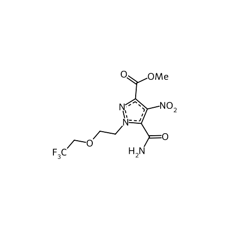 COC(=O)c1nn(CCOCC(F)(F)F)c(C(N)=O)c1[N+](=O)[O-]